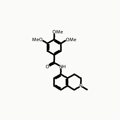 COc1cc(C(=O)Nc2cccc3c2CCN(C)C3)cc(OC)c1OC